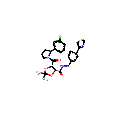 CC1(C)O[C@@H](C(=O)NCc2ccc(-c3cscn3)cc2)[C@H](C(=O)N2CCCC2c2cccc(Cl)c2)O1